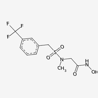 CN(CC(=O)NO)S(=O)(=O)Cc1cccc(C(F)(F)F)c1